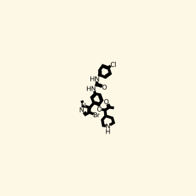 CC(=O)C(Oc1ccc(NC(=O)Nc2ccc(Cl)cc2)cc1-c1c(Br)cnn1C)C1CCNCC1